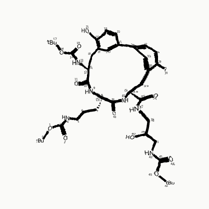 CC(C)(C)OC(=O)NCCC[C@@H]1NC(=O)[C@@H](NC(=O)OC(C)(C)C)Cc2cc(ccc2O)-c2ccc(F)c(c2)C[C@@H](C(=O)NCC(O)CNC(=O)OC(C)(C)C)NC1=O